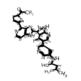 CC(=O)c1ccc(-c2nccc3[nH]c(-c4n[nH]c5ncc(-c6cncc(NC(O)CC(C)C)c6)c(F)c45)nc23)s1